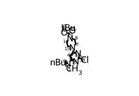 CCCCN(C)c1cc(N2CCN(C(=O)OC(C)(C)C)CC2)nc(Cl)n1